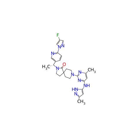 Cc1cc(Nc2cc(C)nc(N3CCC4(CC3)CCN([C@H](C)c3ccc(-n5cc(F)cn5)nc3)C4=O)n2)[nH]n1